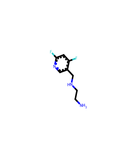 NCCNCc1cnc(F)cc1F